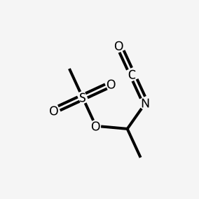 CC(N=C=O)OS(C)(=O)=O